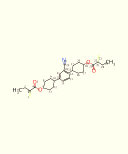 CC[C@H](F)C(=O)OC1CCC(c2ccc(C3CCC(OC(=O)[C@@H](F)CC)CC3)c(C#N)c2)CC1